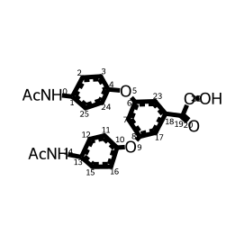 CC(=O)Nc1ccc(Oc2cc(Oc3ccc(NC(C)=O)cc3)cc(C(=O)OO)c2)cc1